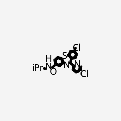 CC(C)CNC(=O)c1ccc2c(c1)N=C(c1ccc(Cl)cn1)c1ccc(Cl)cc1S2